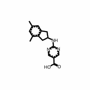 Cc1cc(C)c2c(c1)CC(Nc1ncc(C(=O)O)cn1)C2